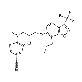 CCCc1c(OCCCN(C)c2ccc(C#N)cc2Cl)ccc2c(C(F)(F)F)noc12